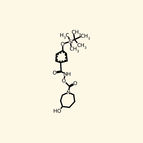 CC(C)(C)[Si](C)(C)Oc1ccc(C(=O)NOC(=O)N2CCCC(O)CC2)cc1